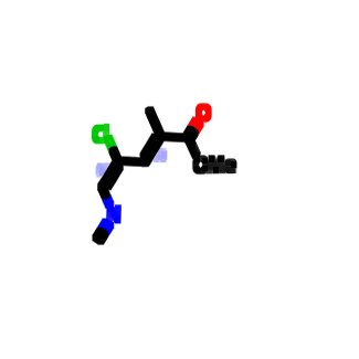 C=N/C=C(Cl)\C=C(/C)C(=O)OC